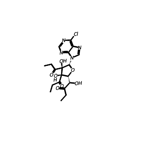 CCC(=O)C(O)[C@H]1O[C@@H](n2cnc3c(Cl)ncnc32)[C@@](O)(C(=O)CC)[C@@]1(O)C(=O)CC